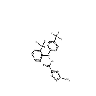 Nc1nc(C(=O)N[C@@H](c2ccc(C(F)(F)F)cc2)c2ncccc2C(F)(F)F)cs1